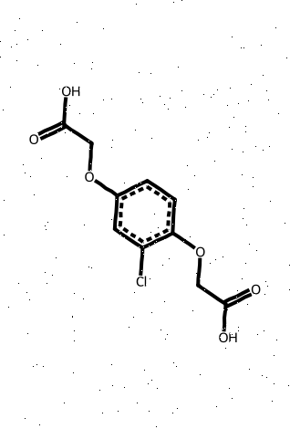 O=C(O)COc1ccc(OCC(=O)O)c(Cl)c1